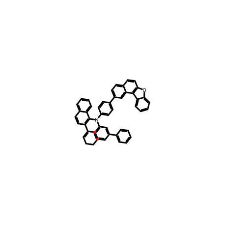 C1=CC(c2ccc3ccccc3c2N(c2ccc(-c3ccc4ccc5oc6ccccc6c5c4c3)cc2)c2cccc(-c3ccccc3)c2)=CCC1